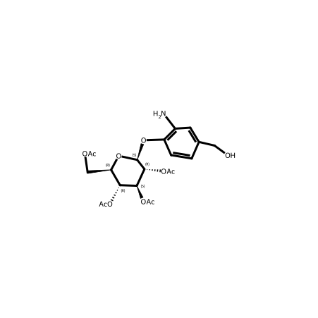 CC(=O)OC[C@H]1O[C@@H](Oc2ccc(CO)cc2N)[C@H](OC(C)=O)[C@@H](OC(C)=O)[C@@H]1OC(C)=O